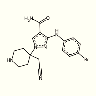 N#CCC1(n2cc(C(N)=O)c(Nc3ccc(Br)cc3)n2)CCNCC1